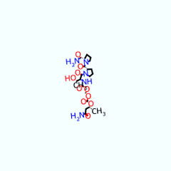 C[C@H](CC(N)=O)OC(=O)OCOC(=O)N[C@H](C(=O)N1CCC[C@H]1C(=O)N1CCC[C@H]1C(N)=O)[C@@H](C)O